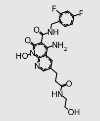 Nc1c(C(=O)NCc2ccc(F)cc2F)c(=O)n(O)c2ncc(CCC(=O)NCCO)cc12